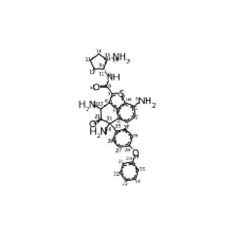 Nc1ccc2c3c(c(C(=O)N[C@@H]4CCC[C@@H]4N)sc13)C(N)C(=O)C2(N)c1ccc(Oc2ccccc2)cc1